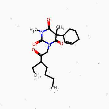 CCCCC(CC)C(=O)CN1C(=O)N(C)C(=O)C(C)(C2C=CCCC2)C1=O